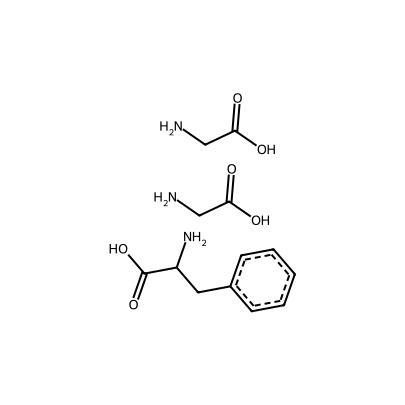 NC(Cc1ccccc1)C(=O)O.NCC(=O)O.NCC(=O)O